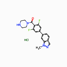 Cl.Cn1ncc2ccc(-c3cc(F)c(C(=O)N4CCNCC4)c(F)c3)cc21